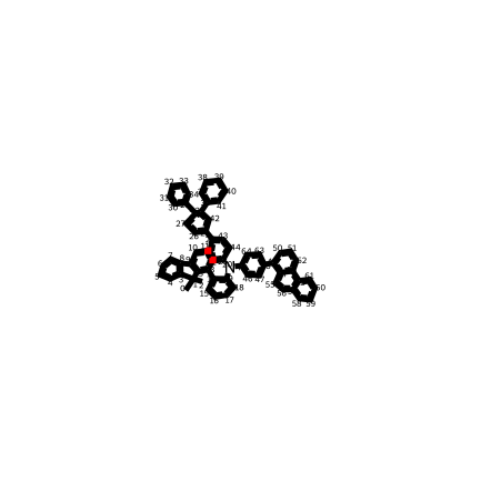 CC1(C)c2ccccc2-c2cccc(-c3ccccc3N(c3ccc(-c4ccc(-c5ccccc5)c(-c5ccccc5)c4)cc3)c3ccc(-c4cccc5c4ccc4ccccc45)cc3)c21